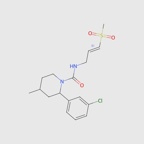 CC1CCN(C(=O)NC/C=C/S(C)(=O)=O)C(c2cccc(Cl)c2)C1